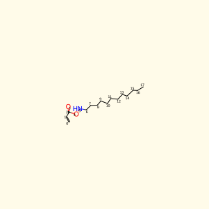 C=CC(=O)ONCCCCCCCCCCCC